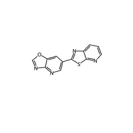 c1cnc2sc(-c3cnc4ncoc4c3)nc2c1